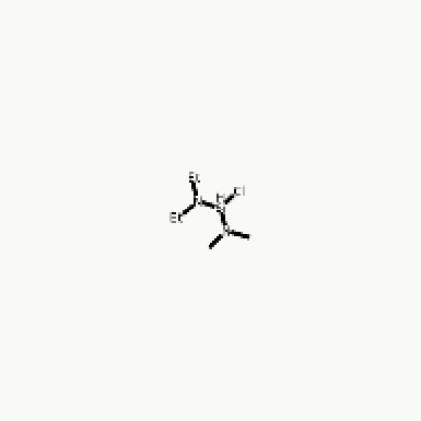 CCN(CC)[SiH](Cl)N(C)C